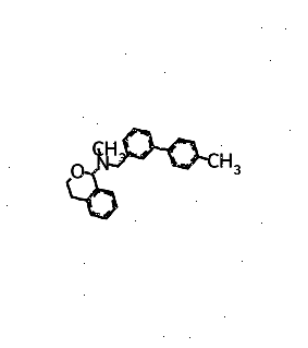 Cc1ccc(-c2cccc(CN(C)C3OCCc4ccccc43)c2)cc1